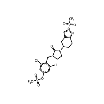 O=C1[C@H](Cc2c(Cl)cc(OS(=O)(=O)C(F)(F)F)cc2Cl)CCN1[C@@H]1CCc2nn(S(=O)(=O)C(F)(F)F)cc2C1